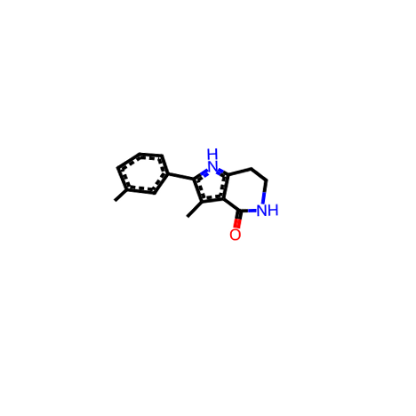 Cc1cccc(-c2[nH]c3c(c2C)C(=O)NCC3)c1